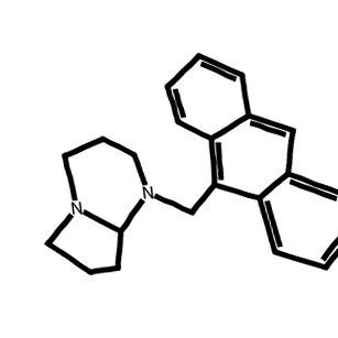 c1ccc2c(CN3CCCN4CCCC43)c3ccccc3cc2c1